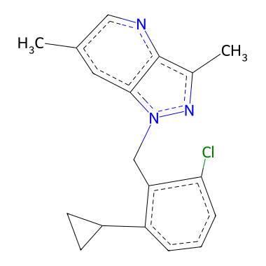 Cc1cnc2c(C)nn(Cc3c(Cl)cccc3C3CC3)c2c1